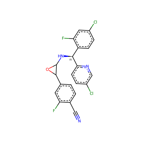 N#Cc1ccc(C2OC2N[C@H](c2ccc(Cl)cn2)c2ccc(Cl)cc2F)cc1F